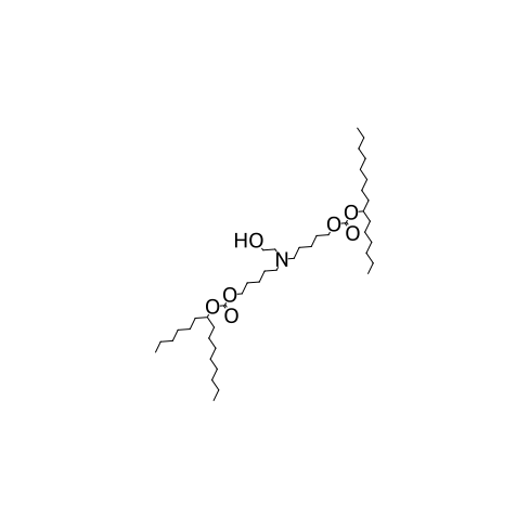 CCCCCCCCC(CCCCCC)OC(=O)OCCCCCN(CCO)CCCCCOC(=O)OC(CCCCCC)CCCCCCCC